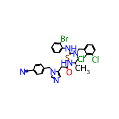 CC(CN(Cc1cccc(Cl)c1Cl)C(=S)Nc1ccccc1Br)NC(=O)Cc1cncn1Cc1ccc(C#N)cc1